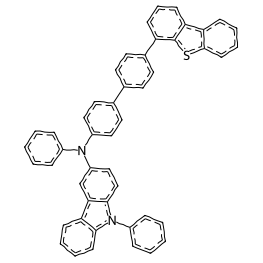 c1ccc(N(c2ccc(-c3ccc(-c4cccc5c4sc4ccccc45)cc3)cc2)c2ccc3c(c2)c2ccccc2n3-c2ccccc2)cc1